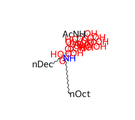 CCCCCCCC/C=C\CCCCCCCCCCCCCC(=O)N[C@@H](CO[C@@H]1OC(CO)[C@@H](O[C@@H]2OC(CO)[C@H](O)[C@H](O[C@@H]3OC(CO)[C@@H](O[C@@H]4OC(CO)[C@H](O)[C@H](O)C4O)[C@H](O)C3NC(C)=O)C2O)[C@H](O)C1O)[C@H](O)/C=C/CCCCCCCCCCCCC